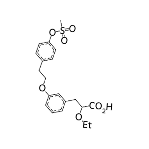 CCOC(Cc1cccc(OCCc2ccc(OS(C)(=O)=O)cc2)c1)C(=O)O